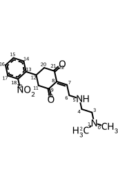 CN(C)CCNCC=C1C(=O)CC(c2ccccc2[N+](=O)[O-])CC1=O